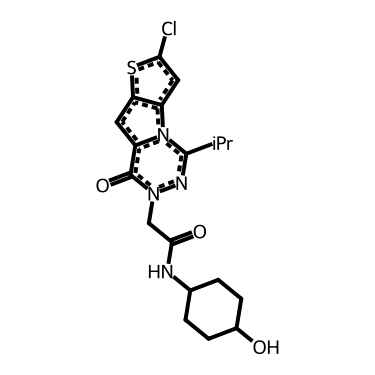 CC(C)c1nn(CC(=O)NC2CCC(O)CC2)c(=O)c2cc3sc(Cl)cc3n12